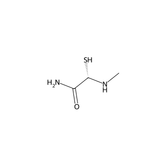 CN[C@@H](S)C(N)=O